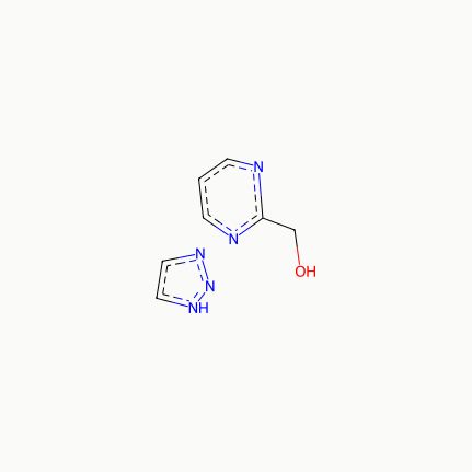 OCc1ncccn1.c1c[nH]nn1